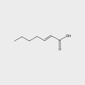 CCCCC=CC(=O)O